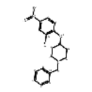 O=[N+]([O-])c1ccc(OC2CCN(Cc3ccccc3)CC2)c(Cl)c1